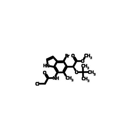 COC(=O)[C@@H](OC(C)(C)C)c1c(C)c(NC(=O)CCl)c2[nH]ccc2c1Br